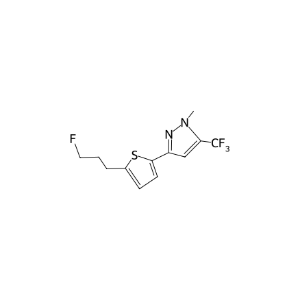 Cn1nc(-c2ccc(CCCF)s2)cc1C(F)(F)F